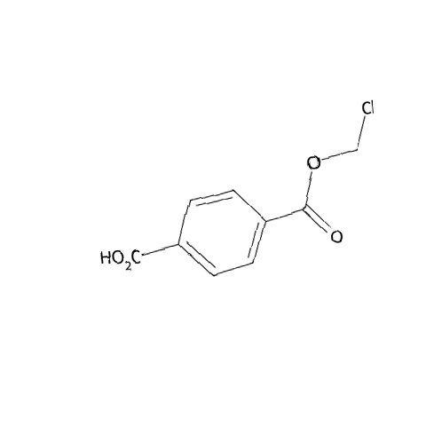 O=C(O)c1ccc(C(=O)OCCl)cc1